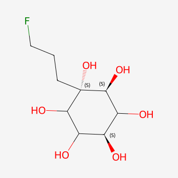 OC1C(O)[C@@](O)(CCCF)[C@@H](O)C(O)[C@H]1O